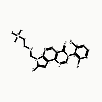 C[Si](C)(C)CCOCn1c(Br)cc2c3ncn(-c4c(Cl)cccc4Cl)c(=O)c3cnc21